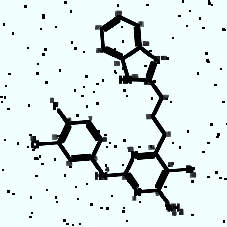 Nc1nc(Nc2ccc(F)c(Cl)c2)nc(CCCc2nc3ccccc3[nH]2)c1Br